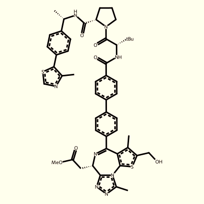 COC(=O)C[C@@H]1N=C(c2ccc(-c3ccc(C(=O)N[C@H](C(=O)N4CCC[C@H]4C(=O)N[C@@H](C)c4ccc(-c5scnc5C)cc4)C(C)(C)C)cc3)cc2)c2c(sc(CO)c2C)-n2c(C)nnc21